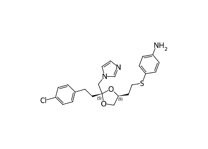 Nc1ccc(SCC[C@H]2CO[C@](CCc3ccc(Cl)cc3)(Cn3ccnc3)O2)cc1